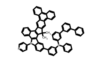 CC1(C)c2cc3c4ccccc4c4ccccc4c3cc2-c2c1c1c3cc(-c4cccc(N(c5ccccc5)c5cccc(-c6cccc(-c7ccccc7)c6)c5)c4)ccc3n(-c3ccncc3)c1c1ccccc21